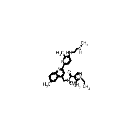 CCn1ncc(C(=O)N(C)Cc2cc(-c3ccc(NCCNC)c(C)n3)nc3ccc(C)cc23)c1C